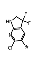 FC1(F)CNc2nc(Cl)c(Br)cc21